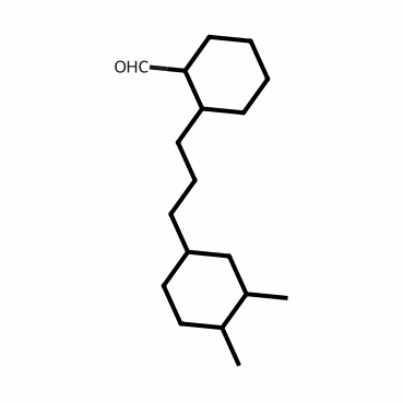 CC1CCC(CCCC2CCCCC2C=O)CC1C